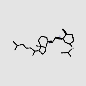 C=C1CCC(OC(C)C)C/C1=C\C=C1/CCCC2(C)C1CCC2C(C)CCCC(C)C